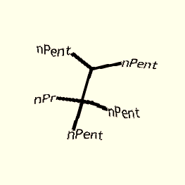 CCCCC[C](CCCCC)C(CCC)(CCCCC)CCCCC